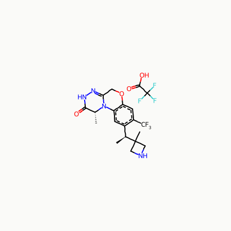 C[C@@H]1C(=O)NN=C2COc3cc(C(F)(F)F)c([C@H](C)C4(C)CNC4)cc3N21.O=C(O)C(F)(F)F